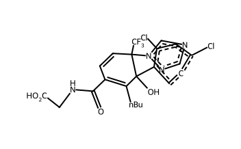 CCCCC1=C(C(=O)NCC(=O)O)C=CC(n2cncn2)(C(F)(F)F)C1(O)c1ccc(Cl)cc1Cl